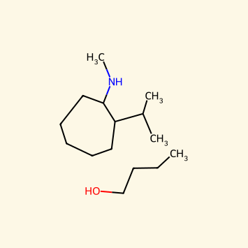 CCCCO.CNC1CCCCCC1C(C)C